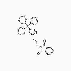 O=C1c2ccccc2C(=O)N1OCCc1cn(C(c2ccccc2)(c2ccccc2)c2ccccc2)cn1